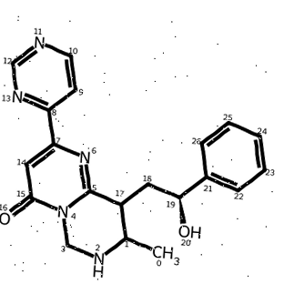 CC1NCn2c(nc(-c3ccncn3)cc2=O)C1C[C@H](O)c1ccccc1